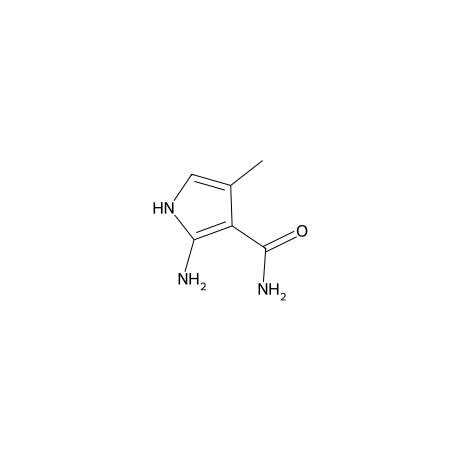 Cc1c[nH]c(N)c1C(N)=O